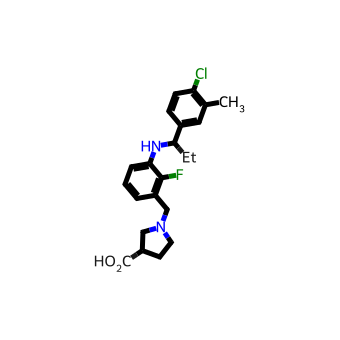 CCC(Nc1cccc(CN2CCC(C(=O)O)C2)c1F)c1ccc(Cl)c(C)c1